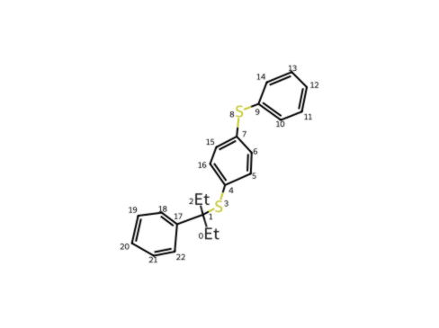 CCC(CC)(Sc1ccc(Sc2ccccc2)cc1)c1ccccc1